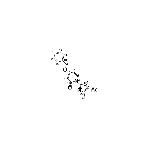 CC(=O)c1sc(-n2ccc(OCc3ccccc3)cc2=O)nc1C